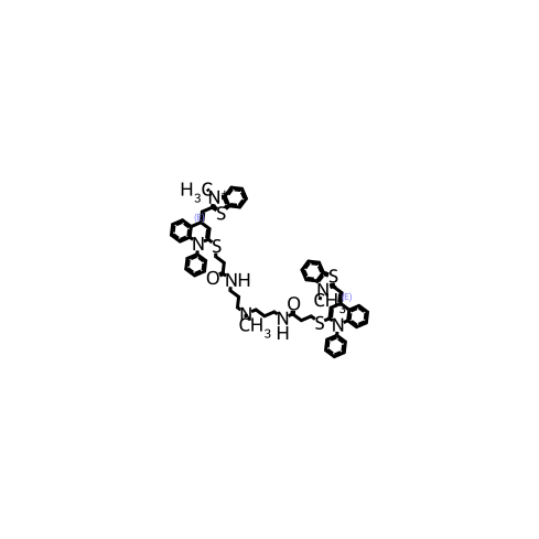 CN(CCCNC(=O)CCSC1=C/C(=C\c2sc3ccccc3[n+]2C)c2ccccc2N1c1ccccc1)CCCNC(=O)CCSC1=C/C(=C\c2sc3ccccc3[n+]2C)c2ccccc2N1c1ccccc1